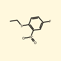 CCSc1ccc(F)cc1[N+](=O)[O-]